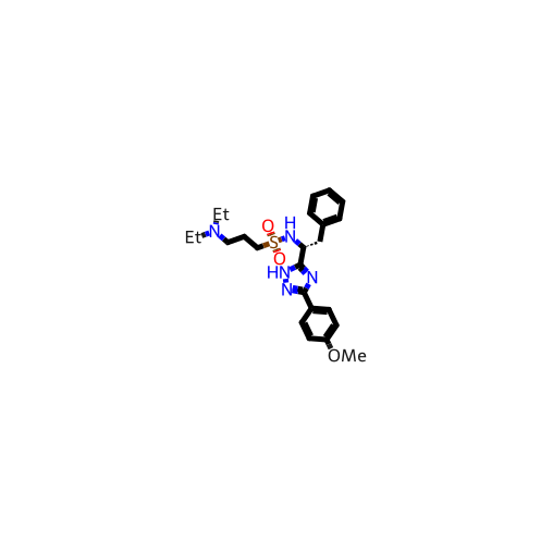 CCN(CC)CCCS(=O)(=O)N[C@H](Cc1ccccc1)c1nc(-c2ccc(OC)cc2)n[nH]1